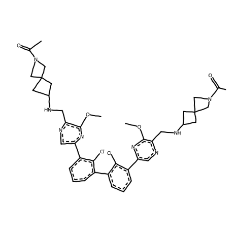 COc1nc(-c2cccc(-c3cccc(-c4cnc(CNC5CC6(C5)CN(C(C)=O)C6)c(OC)n4)c3Cl)c2Cl)cnc1CNC1CC2(C1)CN(C(C)=O)C2